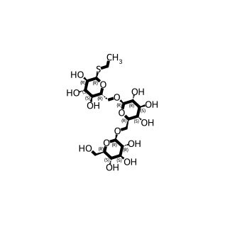 CCS[C@H]1O[C@H](CO[C@@H]2O[C@H](CO[C@@H]3O[C@H](CO)[C@@H](O)[C@H](O)[C@H]3O)[C@@H](O)[C@H](O)[C@H]2O)[C@@H](O)[C@H](O)[C@H]1O